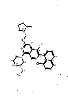 CN1CCC[C@H]1COc1nc(N2CCN[C@@H](CC#N)C2)c2cnc(-c3cccc4cccc(Cl)c34)c(F)c2n1